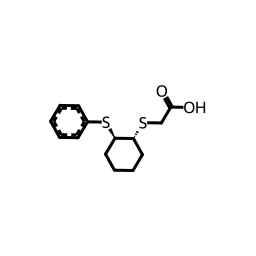 O=C(O)CS[C@@H]1CCCC[C@H]1Sc1ccccc1